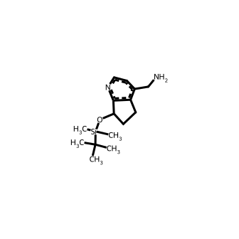 CC(C)(C)[Si](C)(C)OC1CCc2c(CN)ccnc21